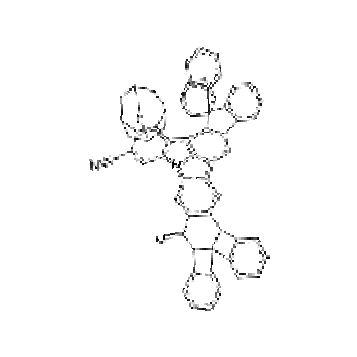 N#Cc1cc2c(c3c1C1CC4CC(C1)CC3C4)c1c3c(cc4c5cc6c(cc5n2c41)C(=O)C1c2ccccc2C12c1ccccc1C62)-c1ccccc1C31c2ccccc2-c2ccccc21